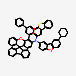 c1ccc(-c2cccc(-c3c(N(c4ccc5oc6ccc(C7CCCCC7)cc6c5c4)c4ccc5sc6ccccc6c5c4)ccc4c3Oc3ccccc3C43c4ccccc4-c4ccccc43)c2)cc1